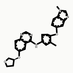 Cc1cc(Nc2ncnc3ccc(O[C@H]4CCOC4)cc23)ccc1Oc1ccc2c(c1)ncn2C